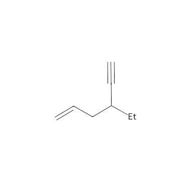 C#CC(CC)CC=C